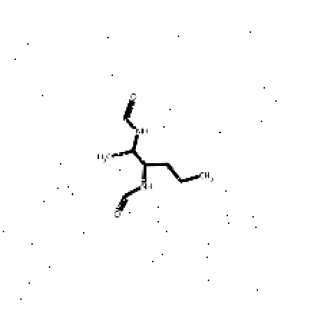 CCCC(NC=O)C(C)NC=O